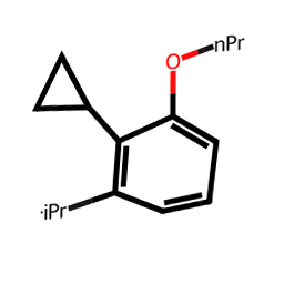 CCCOc1cccc([C](C)C)c1C1CC1